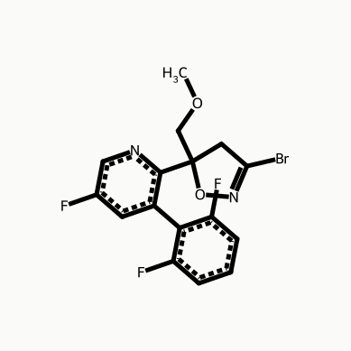 COCC1(c2ncc(F)cc2-c2c(F)cccc2F)CC(Br)=NO1